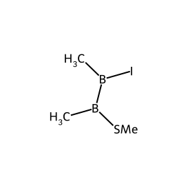 CSB(C)B(C)I